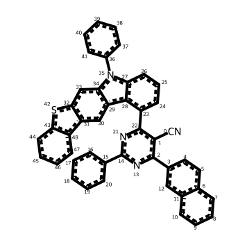 N#Cc1c(-c2ccc3ccccc3c2)nc(-c2ccccc2)nc1-c1cccc2c1c1cc3c(cc1n2-c1ccccc1)sc1ccccc13